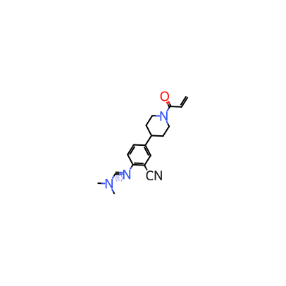 C=CC(=O)N1CCC(c2ccc(/N=C/N(C)C)c(C#N)c2)CC1